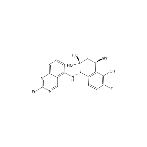 CCC[C@@H]1C[C@](O)(C(F)(F)F)[C@@H](Nc2cccc3nc(CC)ncc23)c2ccc(F)c(O)c21